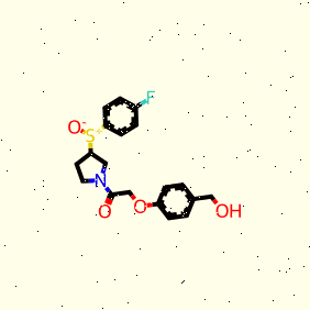 O=C(COc1ccc(CO)cc1)N1CCC([S+]([O-])c2ccc(F)cc2)C1